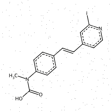 CN(C(=O)O)c1ccc(/C=C/c2ccnc(I)c2)cc1